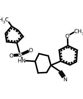 COc1cccc(C2(C#N)CCC(NS(=O)(=O)c3ccc(C)cc3)CC2)c1